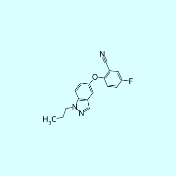 CCCn1ncc2cc(Oc3ccc(F)cc3C#N)ccc21